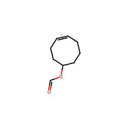 O=COC1CC/C=C\CCC1